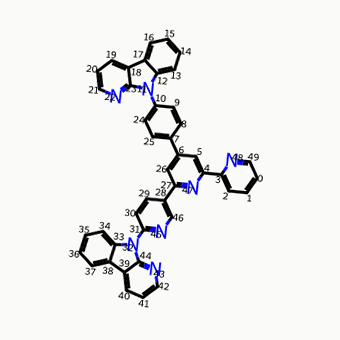 c1ccc(-c2cc(-c3ccc(-n4c5ccccc5c5cccnc54)cc3)cc(-c3ccc(-n4c5ccccc5c5cccnc54)nc3)n2)nc1